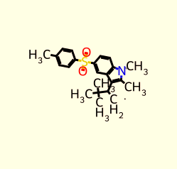 [CH2]C(c1c(C)n(C)c2ccc(S(=O)(=O)c3ccc(C)cc3)cc12)C(C)(C)C